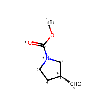 CCCCOC(=O)N1CC[C@H](C=O)C1